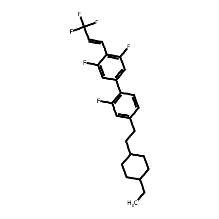 CCC1CCC(CCc2ccc(-c3cc(F)c(/C=C/C(F)(F)F)c(F)c3)c(F)c2)CC1